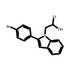 CCC(O)Cn1c(-c2ccc(Br)cc2)cc2ccccc21